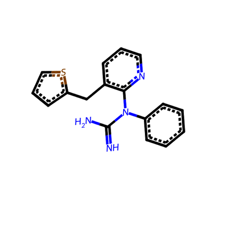 N=C(N)N(c1ccccc1)c1ncccc1Cc1cccs1